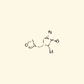 CCC1C(=O)N(CC)CC1Cc1cocn1